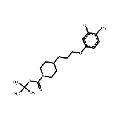 Bc1ccc(OCCCC2CCN(C(=O)OC(C)(C)C)CC2)cc1Cl